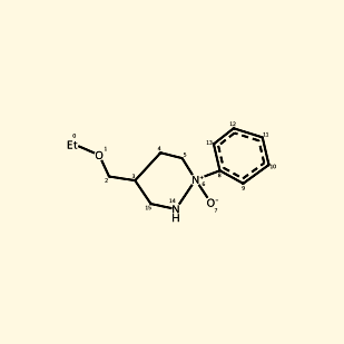 CCOCC1CC[N+]([O-])(c2ccccc2)NC1